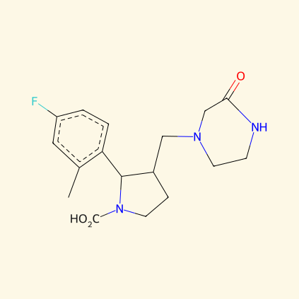 Cc1cc(F)ccc1C1C(CN2CCNC(=O)C2)CCN1C(=O)O